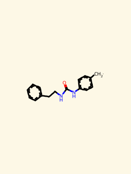 [CH2]c1ccc(NC(=O)NCCc2ccccc2)cc1